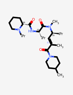 C/C(=C\[C@H](C(C)C)N(C)C(=O)[C@@H](NC(=O)[C@H]1CCCCN1C(C)C)C(C)C)C(=O)N1CCC(C)CC1